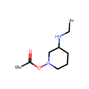 CC(C)CNC1CCCN(OC(=O)C(C)(C)C)C1